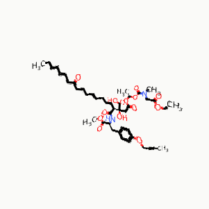 CC#CCOc1ccc(C[C@H](NC(=O)[C@@H](/C=C/CCCCCCC(=O)CCCCCCC)C(O)(CC(=O)O[C@H](C)OC(=O)N(C)CC(=O)OCC)C(=O)O)C(=O)OC)cc1